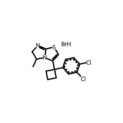 Br.CC1CN=C2SC=C(C3(c4ccc(Cl)c(Cl)c4)CCC3)N21